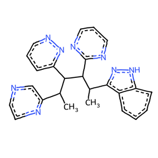 CC(c1cnccn1)C(c1cccnn1)C(c1ncccn1)C(C)c1n[nH]c2ccccc12